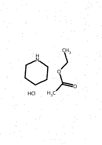 C1CCNCC1.CCOC(C)=O.Cl